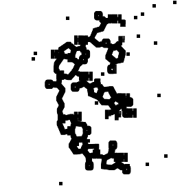 NC(=O)CC[C@@H](COc1cc(Cl)ccc1F)NC(=O)[C@@H]1CC[C@@H]2CCN(C(=O)CCCCN3CCN4c5ccc6c(c5OC[C@H]4C3)CN([C@H]3CCC(=O)NC3=O)C6=O)C[C@H](NC(=O)c3cc4cc(C(F)(F)P(=O)(O)O)ccc4s3)C(=O)N21